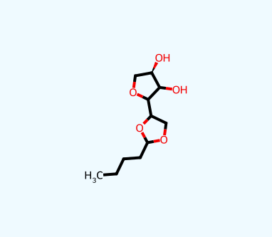 CCCCC1OCC(C2OC[C@@H](O)C2O)O1